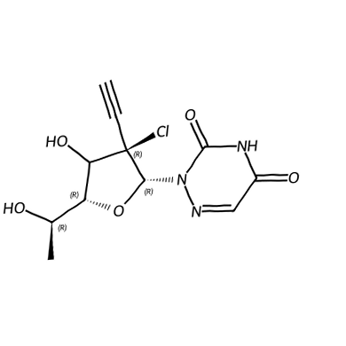 C#C[C@@]1(Cl)C(O)[C@@H]([C@@H](C)O)O[C@H]1n1ncc(=O)[nH]c1=O